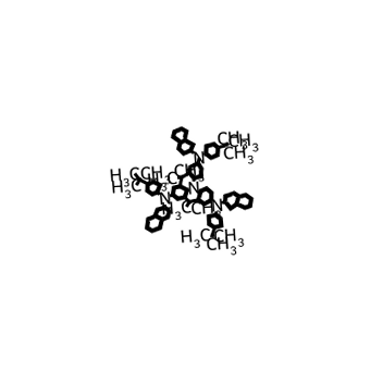 CC(C)(C)c1ccc(N(c2ccc3c(c2)C(C)(C)c2cc(N(c4ccc(C(C)(C)C)cc4)c4ccc5ccccc5c4)cc4c2N3c2ccc(N(c3ccc(C(C)(C)C)cc3)c3ccc5ccccc5c3)cc2C4(C)C)c2ccc3ccccc3c2)cc1